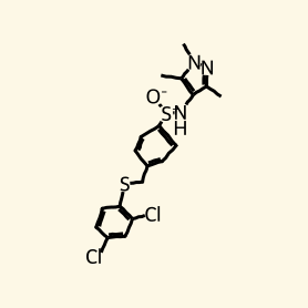 Cc1nn(C)c(C)c1N[S+]([O-])c1ccc(CSc2ccc(Cl)cc2Cl)cc1